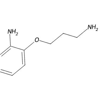 NCCCOc1cccnc1N